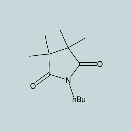 CCCCN1C(=O)C(C)(C)C(C)(C)C1=O